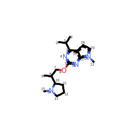 CC(C)c1nc(OCC(C)C2CCCN2C)nc2c1ccn2C